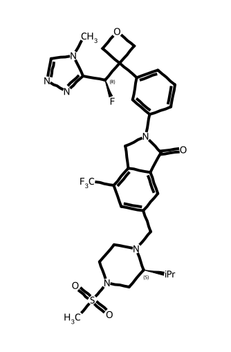 CC(C)[C@H]1CN(S(C)(=O)=O)CCN1Cc1cc2c(c(C(F)(F)F)c1)CN(c1cccc(C3([C@@H](F)c4nncn4C)COC3)c1)C2=O